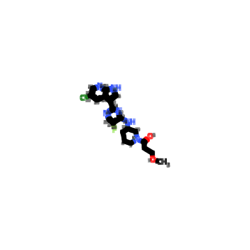 COCCC(=O)N1CCCC(Nc2nc(-c3c[nH]c4ncc(Cl)cc34)ncc2F)C1